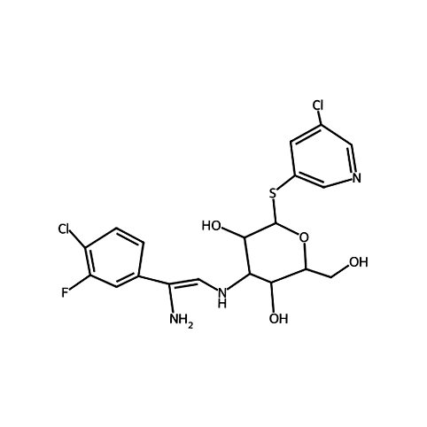 N/C(=C\NC1C(O)C(CO)OC(Sc2cncc(Cl)c2)C1O)c1ccc(Cl)c(F)c1